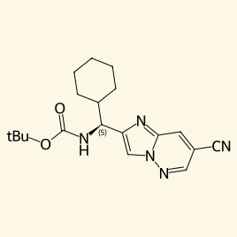 CC(C)(C)OC(=O)N[C@H](c1cn2ncc(C#N)cc2n1)C1CCCCC1